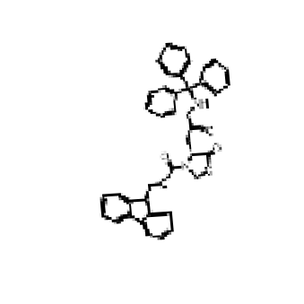 O=C(CNC(c1ccccc1)(c1ccccc1)c1ccccc1)C[C@H]1C(=O)OCN1C(=O)OCC1c2ccccc2-c2ccccc21